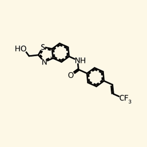 O=C(Nc1ccc2sc(CO)nc2c1)c1ccc(/C=C/C(F)(F)F)cc1